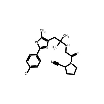 Cc1[nH]c(-c2ccc(Cl)cc2)nc1CC(C)(C)NCC(=O)N1CCCC1C#N